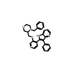 c1ccc(CN2CCOCC2COc2cnccc2-c2[nH]c3cccnc3c2-c2ccccc2)cc1